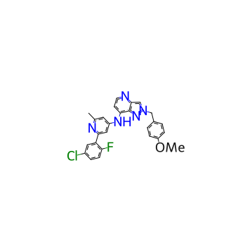 COc1ccc(Cn2cc3nccc(Nc4cc(C)nc(-c5cc(Cl)ccc5F)c4)c3n2)cc1